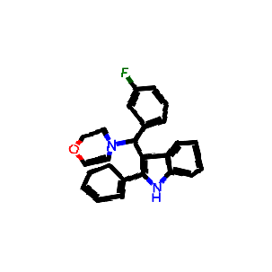 Fc1cccc(C(c2c(C3=CC=CCC3)[nH]c3ccccc23)N2C=COCC2)c1